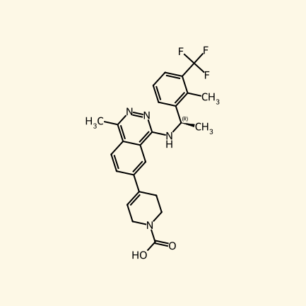 Cc1c([C@@H](C)Nc2nnc(C)c3ccc(C4=CCN(C(=O)O)CC4)cc23)cccc1C(F)(F)F